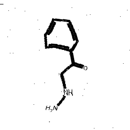 NN[C]C(=O)c1ccccc1